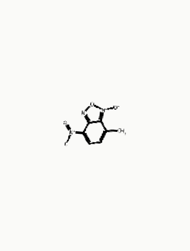 Cc1ccc([N+](=O)[O-])c2no[n+]([O-])c12